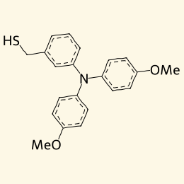 COc1ccc(N(c2ccc(OC)cc2)c2cccc(CS)c2)cc1